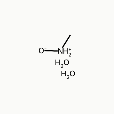 C[NH2+][O-].O.O